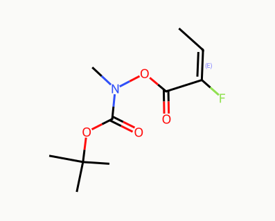 C/C=C(/F)C(=O)ON(C)C(=O)OC(C)(C)C